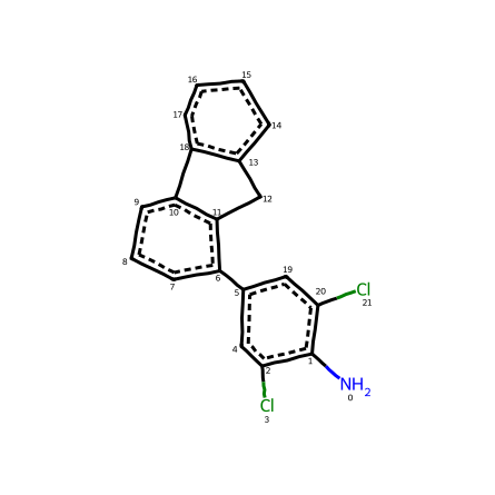 Nc1c(Cl)cc(-c2cccc3c2Cc2ccccc2-3)cc1Cl